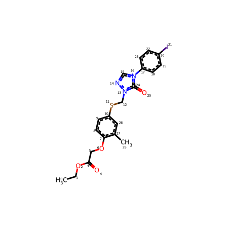 CCOC(=O)COc1ccc(SCn2ncn(-c3ccc(I)cc3)c2=O)cc1C